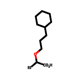 CCC(OCCCC1CCCCC1)C(=O)O